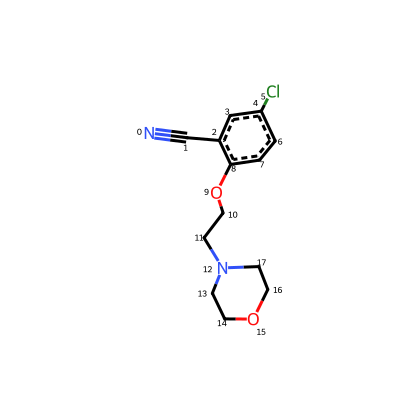 N#Cc1cc(Cl)ccc1OCCN1CCOCC1